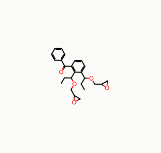 CCC(OCC1CO1)c1cccc(C(=O)c2ccccc2)c1C(CC)OCC1CO1